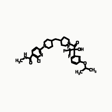 CNC(=O)c1ccc(N2CCC(CC3CCN(C(=O)C(O)(c4cccc(OC(C)C)c4)C(F)(F)F)CC3)CC2)nc1Cl